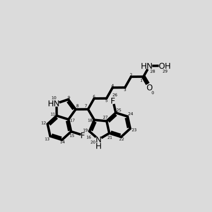 O=C(CCCCCC(c1c[nH]c2cccc(F)c12)c1c[nH]c2cccc(F)c12)NO